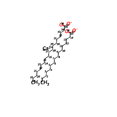 CCCCCCCCCCCCCCCC(=O)[O-].CCCCCCCCCCCCCCCCCC(=O)[O-].[Ca+2]